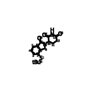 CC(C)(C)Sc1cccc2c1CN(C1CCC(=O)NC1=O)C2=O